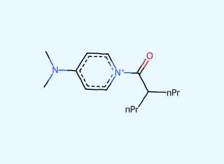 CCCC(CCC)C(=O)[n+]1ccc(N(C)C)cc1